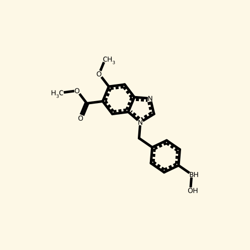 COC(=O)c1cc2c(cc1OC)ncn2Cc1ccc(BO)cc1